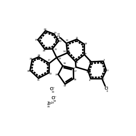 Clc1ccc2c(c1)Cc1c-2ccc(Cl)c1C(C1=CC=CC1)(c1ccccc1)c1ccccc1.[Cl-].[Cl-].[Zr+2]